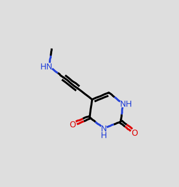 CNC#Cc1c[nH]c(=O)[nH]c1=O